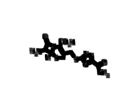 NC(=O)c1nnc(SCC2=C(C(=O)O)N3C(=O)C(N)[C@@H]3SC2)o1